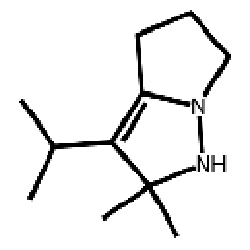 CC(C)C1=C2CCCN2NC1(C)C